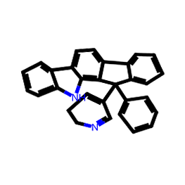 C1=NCCC=C1C1(c2ccccc2)c2ccccc2-c2ccc3c([nH]c4ccccc43)c21